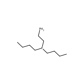 CCCCP(CCP)CCCC